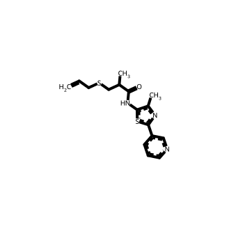 C=CCSCC(C)C(=O)Nc1sc(-c2cccnc2)nc1C